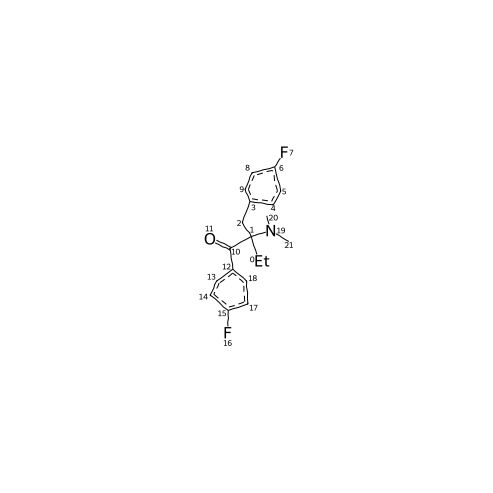 CCC(Cc1ccc(F)cc1)(C(=O)c1ccc(F)cc1)N(C)C